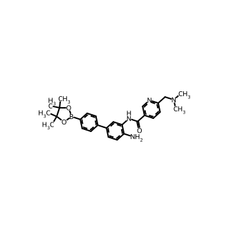 CN(C)Cc1ccc(C(=O)Nc2cc(-c3ccc(B4OC(C)(C)C(C)(C)O4)cc3)ccc2N)cn1